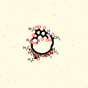 CO[C@H]1/C=C/O[C@@]2(C)Oc3c(C)c(O)c4c(c3/C2=N/O)C(=O)C(CO)=C(NC(=O)/C(C)=C\C=C\[C@H](C)[C@H](O)[C@@H](C)[C@@H](O)[C@@H](C)[C@H](OC(C)=O)[C@@H]1C)C4=O